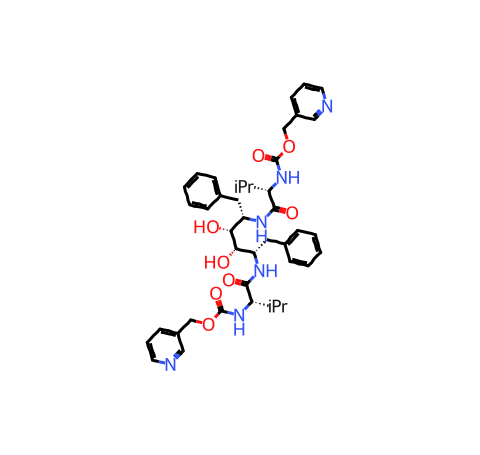 CC(C)[C@H](NC(=O)OCc1cccnc1)C(=O)N[C@@H](Cc1ccccc1)[C@H](O)[C@H](O)[C@H](Cc1ccccc1)NC(=O)[C@@H](NC(=O)OCc1cccnc1)C(C)C